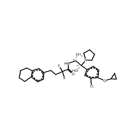 C[C@@H](NC(=O)C(F)(F)CCc1ccc2c(c1)CCCC2)[C@](O)(c1ccc(OC2CC2)c(Cl)c1)N1CCCC1